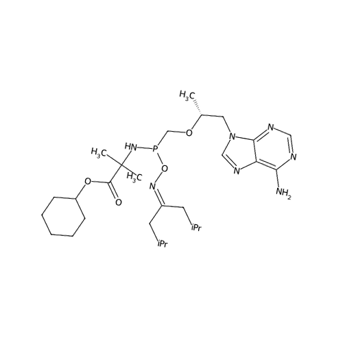 CC(C)CC(CC(C)C)=NOP(CO[C@H](C)Cn1cnc2c(N)ncnc21)NC(C)(C)C(=O)OC1CCCCC1